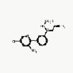 C=CC[C@H](NC(=O)O)c1cccc(-c2ncc(Cl)cc2N)c1